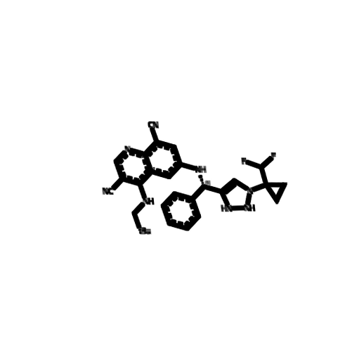 CC(C)(C)CNc1c(C#N)cnc2c(C#N)cc(N[C@H](C3=CN(C4(C(F)F)CC4)NN3)c3ccccc3)cc12